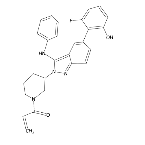 C=CC(=O)N1CCCC(n2nc3ccc(-c4c(O)cccc4F)cc3c2Nc2ccccc2)C1